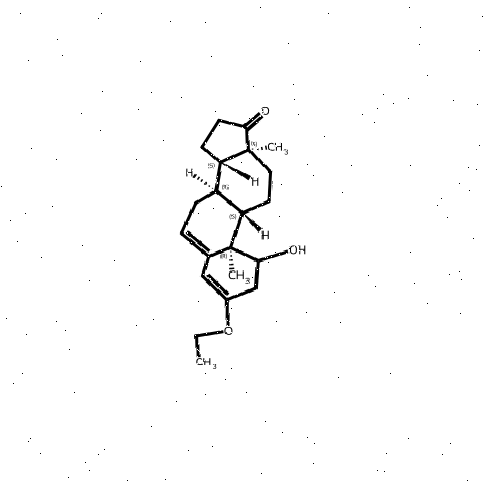 CCOC1=CC2=CC[C@H]3[C@@H]4CCC(=O)[C@@]4(C)CC[C@@H]3[C@@]2(C)C(O)C1